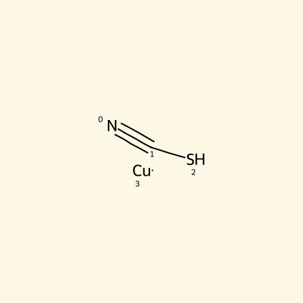 N#CS.[Cu]